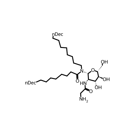 CCCCCCCCCCCCCCCCCCN(C(=O)CCCCCCCCCCCCCCCCC)[C@@H]1O[C@H](CO)[C@@H](O)[C@H](O)[C@@H]1NC(=O)CN